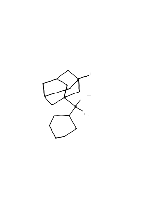 CC(O)(C1CCCCC1)C12CC3CC(CC(O)(C3)C1)C2